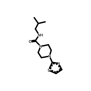 CC(C)CNC(=O)N1CCN(c2nccs2)CC1